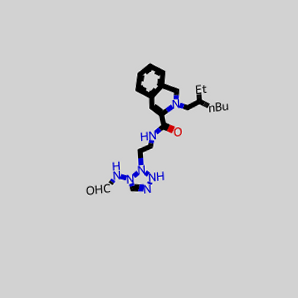 CCCCC(CC)CN1Cc2ccccc2C=C1C(=O)NCCN1NN=CN1NC=O